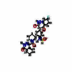 CNC(=O)C1c2cc([C@H]3CCCN(C(=O)c4nn(C)c(=O)c5ccccc45)C3)c(N(C)[S+](C)[O-])cc2OC1c1ccc(F)cc1